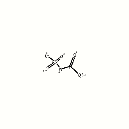 CCS(=O)(=O)[N]C(=O)OCC(C)C